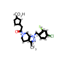 O=C(O)C1CCC(CC(=O)N2CCc3c(C(F)(F)F)nn(Cc4ccc(Cl)cc4F)c3C2)C1